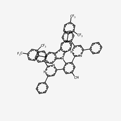 N#Cc1cc(-c2cc(-c3ccccc3)nc(-c3ccccc3)n2)c(-n2c3ccc(-c4ccc(C(F)(F)F)cc4C(F)(F)F)cc3c3cc(-c4ccc(C(F)(F)F)cc4C(F)(F)F)ccc32)c(-c2nc(-c3ccccc3)cc(-c3ccccc3)n2)c1